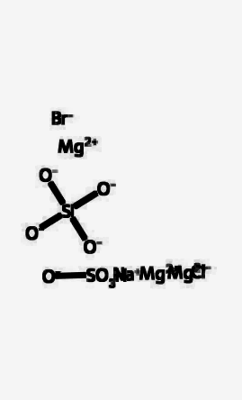 O=S(=O)([O-])O.[Br-].[Cl-].[Mg+2].[Mg+2].[Mg+2].[Na+].[O-][Si]([O-])([O-])[O-]